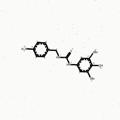 CC(C)(C)c1cc(NC(=S)NCc2ccc(N)cc2)cc(C(C)(C)C)c1O